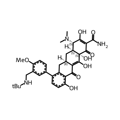 COc1ccc(-c2ccc(O)c3c2C[C@H]2C[C@H]4[C@H](N(C)C)C(O)=C(C(N)=O)C(=O)[C@@]4(O)C(O)=C2C3=O)cc1CNC(C)(C)C